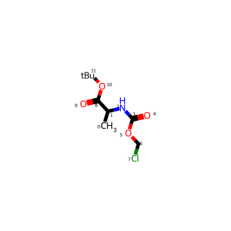 CC(NC(=O)OCCl)C(=O)OC(C)(C)C